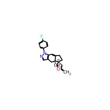 C=CC[C@]1(C=O)CCC2=Cc3c(cnn3-c3ccc(F)cc3)C[C@@]21C